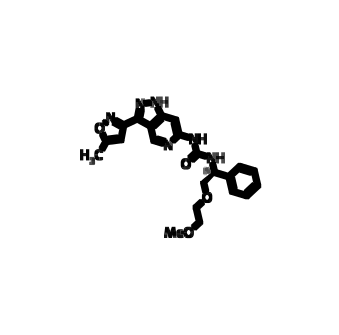 COCCOC[C@@H](NC(=O)Nc1cc2[nH]nc(-c3cc(C)on3)c2cn1)c1ccccc1